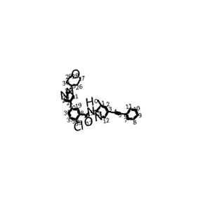 Cc1cc(C#Cc2ccccc2)cnc1NC(=O)c1cc(-c2cnn(C3CCOCC3)c2)ccc1Cl